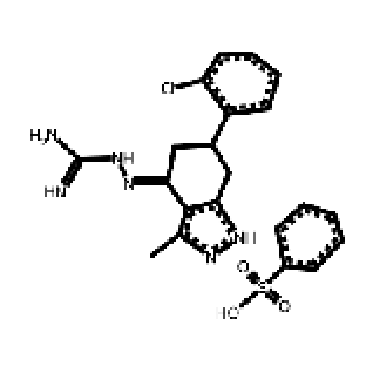 Cc1n[nH]c2c1C(=NNC(=N)N)CC(c1ccccc1Cl)C2.O=S(=O)(O)c1ccccc1